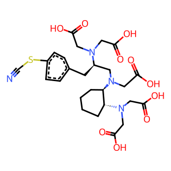 N#CSc1ccc(C[C@H](CN(CC(=O)O)[C@@H]2CCCC[C@H]2N(CC(=O)O)CC(=O)O)N(CC(=O)O)CC(=O)O)cc1